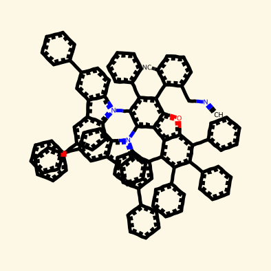 C=NCc1cccc(C#N)c1-c1c(-c2ccccc2)c(-n2c3ccc(-c4ccccc4)cc3c3cc(-c4ccccc4)ccc32)c(-n2c3ccc(-c4ccccc4)cc3c3cc(-c4ccccc4)ccc32)c2c1oc1c(-c3ccccc3)c(-c3ccccc3)c(-c3ccccc3)c(-c3ccccc3)c12